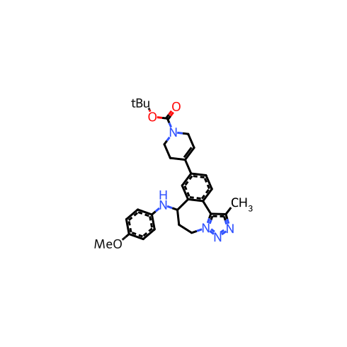 COc1ccc(NC2CCn3nnc(C)c3-c3ccc(C4=CCN(C(=O)OC(C)(C)C)CC4)cc32)cc1